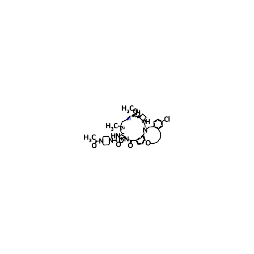 CO[C@H]1/C=C/C[C@H](C)CS(=O)(NC(=O)N2CCN(C(C)=O)CC2)=NC(=O)c2ccc3c(c2)N(Cc2ccc(Cl)cc2CCCCO3)C[C@@H]2CC[C@H]21